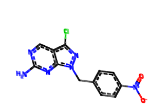 Nc1ncc2c(Cl)nn(Cc3ccc([N+](=O)[O-])cc3)c2n1